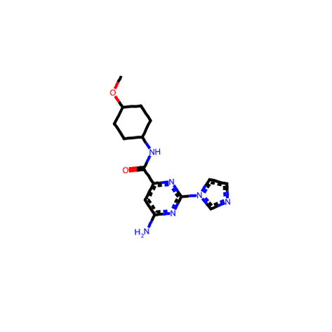 COC1CCC(NC(=O)c2cc(N)nc(-n3ccnc3)n2)CC1